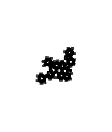 CC1(C)c2c(-c3cccc4c3oc3ccccc34)cccc2-c2c(N(c3ccc(-c4ccccc4)cc3)c3cccc4c3sc3ccccc34)ccc3cccc1c23